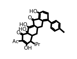 CC(=O)C1=C(O)C(C(C)C)C2CC3Cc4c(-c5ccc(C)cc5)ccc(O)c4C(=O)C3=C(O)C2(O)C1=O